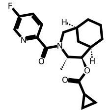 C[C@H]1[C@H](OC(=O)C2CC2)[C@@H]2CCC[C@@H](C2)CN1C(=O)c1ccc(F)cn1